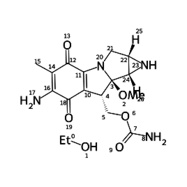 CCO.CO[C@@]12[C@H](COC(N)=O)C3=C(C(=O)C(C)=C(N)C3=O)N1C[C@@H]1N[C@@H]12